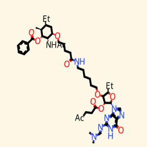 CC[C@H]1C[C@@H](OCCCCC(=O)NCCCCCCOC2[C@@H](CC)O[C@@H](n3cnc4c(=O)[nH]c(/N=C/N(C)C)nc43)[C@H]2OC(=O)CCC(C)=O)[C@H](NC(C)=O)[C@@H](OC(=O)c2ccccc2)[C@H]1C